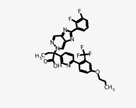 CCCOc1ccc(-c2ccc(C(CC)(C(=O)O)n3cc4nc(-c5cccc(F)c5F)nc-4cn3)cn2)c(C(F)(F)F)c1